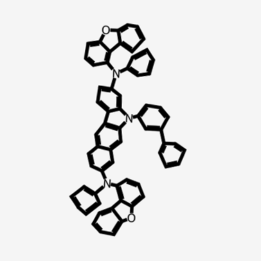 c1ccc(-c2cccc(-n3c4cc(N(c5ccccc5)c5cccc6oc7ccccc7c56)ccc4c4cc5ccc(N(c6ccccc6)c6cccc7oc8ccccc8c67)cc5cc43)c2)cc1